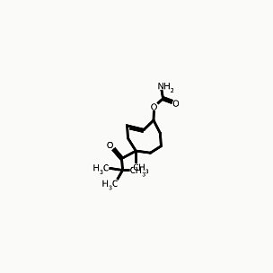 CC(C)(C)C(=O)C1(C)C/C=C/C(OC(N)=O)CCC1